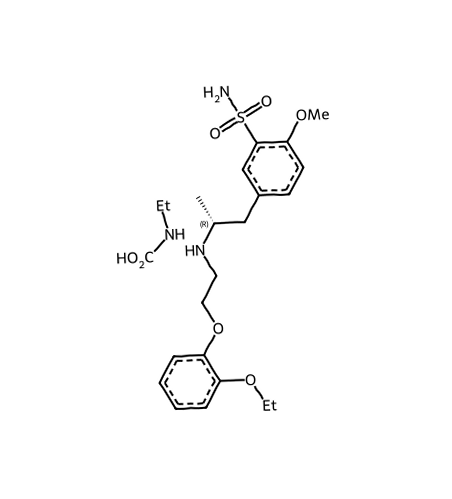 CCNC(=O)O.CCOc1ccccc1OCCN[C@H](C)Cc1ccc(OC)c(S(N)(=O)=O)c1